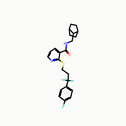 O=C(NCC1C2CCC1CC2)c1cccnc1SCCC(F)(F)c1ccc(F)cc1